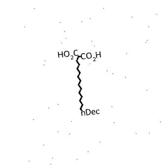 CCCCCCCCCCCCCCCCCCCCCCCC(C(=O)O)C(=O)O